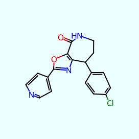 O=C1NCCC(c2ccc(Cl)cc2)c2nc(-c3ccncc3)oc21